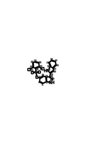 O=S(=O)(Oc1ccc2[nH]nc(-c3cc4ccccc4[nH]3)c2c1)c1c(Cl)cccc1Cl